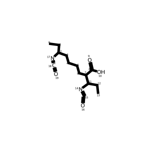 CCC(CCCCC(C(=O)O)C(CC)N=C=O)N=C=O